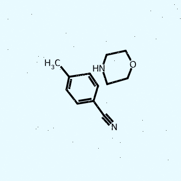 C1COCCN1.Cc1ccc(C#N)cc1